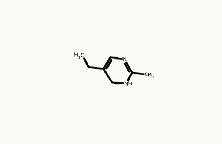 CCC1=CN=C(C)NC1